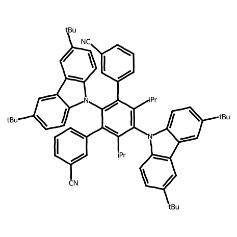 CC(C)c1c(-c2cccc(C#N)c2)c(-n2c3ccc(C(C)(C)C)cc3c3cc(C(C)(C)C)ccc32)c(-c2cccc(C#N)c2)c(C(C)C)c1-n1c2ccc(C(C)(C)C)cc2c2cc(C(C)(C)C)ccc21